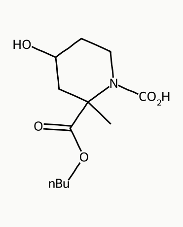 CCCCOC(=O)C1(C)CC(O)CCN1C(=O)O